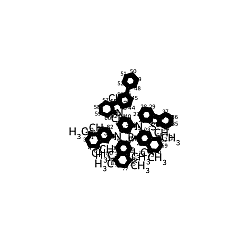 CC1(C)CCC(C)(C)c2cc(N3c4cc5c(cc4B4c6cc7c(cc6N(c6cccc8c6sc6ccccc68)c6cc(N8c9ccc(-c%10ccccc%10)cc9C9(C)CCCCC89C)cc3c64)C(C)(C)CCC7(C)C)C(C)(C)CCC5(C)C)ccc21